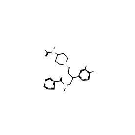 CCCC(=O)N(CC)C1CCN(CCC(CN(C)C(=O)c2ccccc2)c2ccc(Cl)c(Cl)c2)CC1